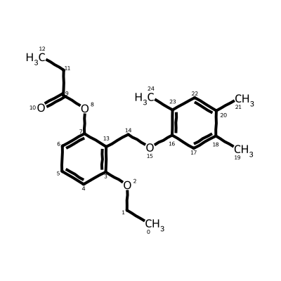 CCOc1cccc(OC(=O)CC)c1COc1cc(C)c(C)cc1C